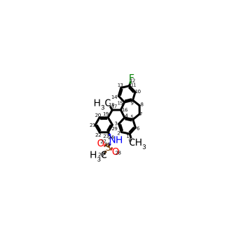 Cc1ccc2c(c1)CCc1cc(F)ccc1C2C(C)c1cccc(NS(C)(=O)=O)c1